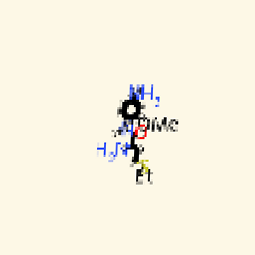 CCSCCC(N)C(=O)N(C)c1ccc(N)cc1OC